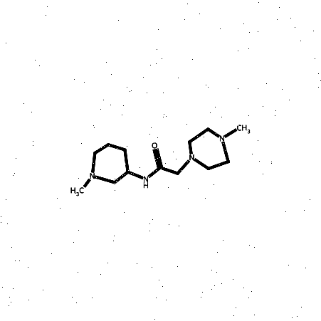 CN1CCN(CC(=O)NC2CCCN(C)C2)CC1